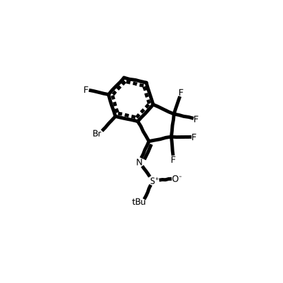 CC(C)(C)[S+]([O-])/N=C1/c2c(ccc(F)c2Br)C(F)(F)C1(F)F